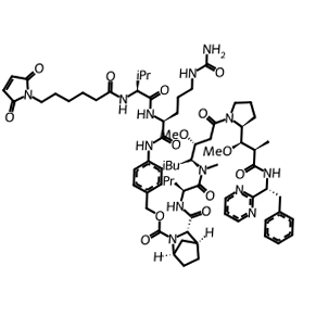 CC[C@H](C)[C@@H]([C@@H](CC(=O)N1CCC[C@H]1[C@H](OC)[C@@H](C)C(=O)N[C@H](Cc1ccccc1)c1ncccn1)OC)N(C)C(=O)[C@@H](NC(=O)[C@@H]1[C@H]2CC[C@H](C2)N1C(=O)OCc1ccc(NC(=O)[C@H](CCCNC(N)=O)NC(=O)[C@@H](NC(=O)CCCCCN2C(=O)C=CC2=O)C(C)C)cc1)C(C)C